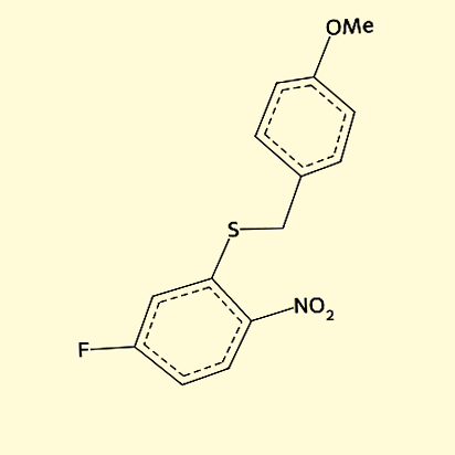 COc1ccc(CSc2cc(F)ccc2[N+](=O)[O-])cc1